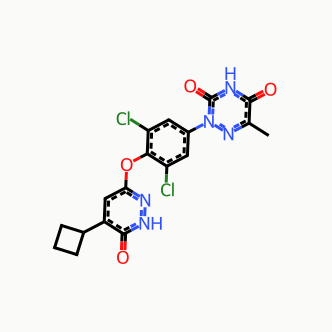 Cc1nn(-c2cc(Cl)c(Oc3cc(C4CCC4)c(=O)[nH]n3)c(Cl)c2)c(=O)[nH]c1=O